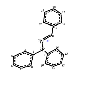 C(=N\P(c1ccccc1)c1ccccc1)/c1ccccc1